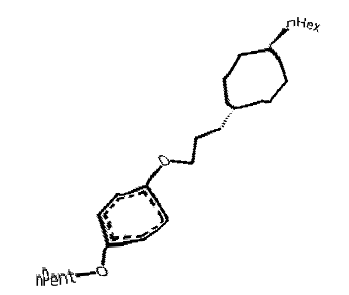 CCCCCC[C@H]1CC[C@H](CCCOc2ccc(OCCCCC)cc2)CC1